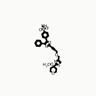 COC1(c2nc(COCC#Cc3nc(-c4ccccc4)c(-c4ccc(S(N)(=O)=O)cc4)o3)cs2)CCOCC1